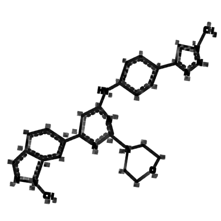 Cn1cc(-c2ccc(Nc3cc(-c4ccc5cnn(C)c5c4)nc(N4CCOCC4)n3)cc2)nn1